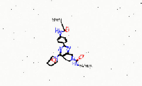 CCCCCCNC(=O)N1CCc2c(nc(-c3ccc(NC(=O)NC)cc3)nc2N2CC3CCC(C2)O3)C1